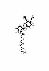 CCCCCCCCCc1ccccc1Oc1ccc(C#N)c(C#N)c1